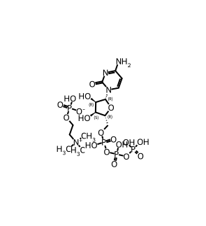 C[N+](C)(C)CCOP(=O)([O-])O.Nc1ccn([C@@H]2O[C@H](COP(=O)(O)OP(=O)(O)OP(=O)(O)O)[C@@H](O)[C@H]2O)c(=O)n1